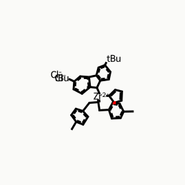 Cc1ccc(C[C](Cc2ccc(C)cc2)=[Zr+2]([C]2=CC=CC2)[CH]2c3ccc(C(C)(C)C)cc3-c3cc(C(C)(C)C)ccc32)cc1.[Cl-].[Cl-]